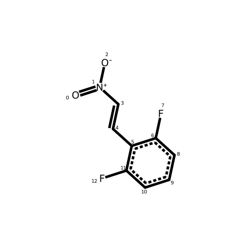 O=[N+]([O-])/C=C/c1c(F)cccc1F